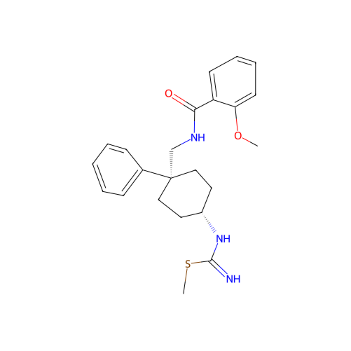 COc1ccccc1C(=O)NC[C@]1(c2ccccc2)CC[C@H](NC(=N)SC)CC1